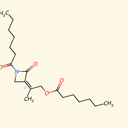 CCCCCCC(=O)OC/C(C)=C1/CN(C(=O)CCCCCC)C1=O